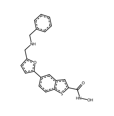 O=C(NO)c1cc2cc(-c3ccc(CNCc4ccccc4)o3)ccc2s1